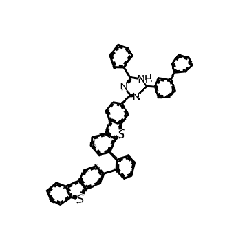 c1ccc(C2=NC(c3ccc4c(c3)sc3c(-c5ccccc5-c5ccc6c(c5)sc5ccccc56)cccc34)=NC(c3cccc(-c4ccccc4)c3)N2)cc1